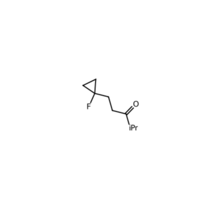 CC(C)C(=O)CCC1(F)CC1